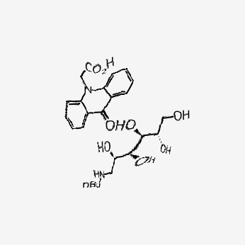 CCCCNC[C@@H](O)[C@H](O)[C@@H](O)[C@@H](O)CO.O=C(O)Cn1c2ccccc2c(=O)c2ccccc21